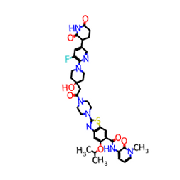 CC(C)Oc1cc2nc(N3CCN(C(=O)CC4(O)CCN(c5ncc(C6CCC(=O)NC6=O)cc5F)CC4)CC3)sc2cc1C(=O)Nc1cccn(C)c1=O